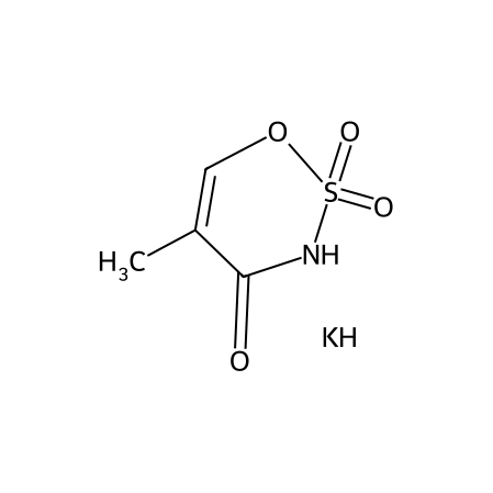 CC1=COS(=O)(=O)NC1=O.[KH]